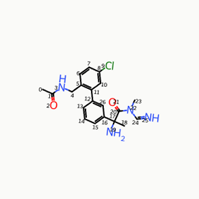 CC(=O)NCc1ccc(Cl)cc1-c1cccc(C(C)(N)C(=O)N(C)C=N)c1